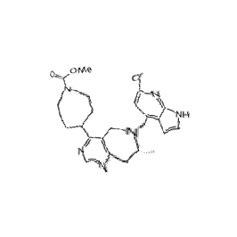 COC(=O)N1CCC(c2ncnc3c2CN(c2cc(Cl)nc4[nH]ccc24)[C@H](C)C3)CC1